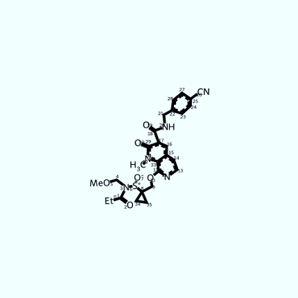 CCC(=O)N(COC)[S+]([O-])C1(COc2nccc3cc(C(=O)NCc4ccc(C#N)cc4)c(=O)n(C)c23)CC1